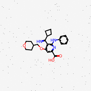 N=C(c1c(OCC2CCOCC2)cc(C(=O)O)nc1Nc1ccccc1)C1CCC1